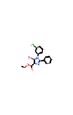 CCOC(=O)c1nc(-c2ccccc2)n(-c2cccc(Cl)c2)c1Br